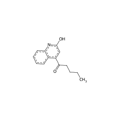 CCCCC(=O)c1cc(O)nc2ccccc12